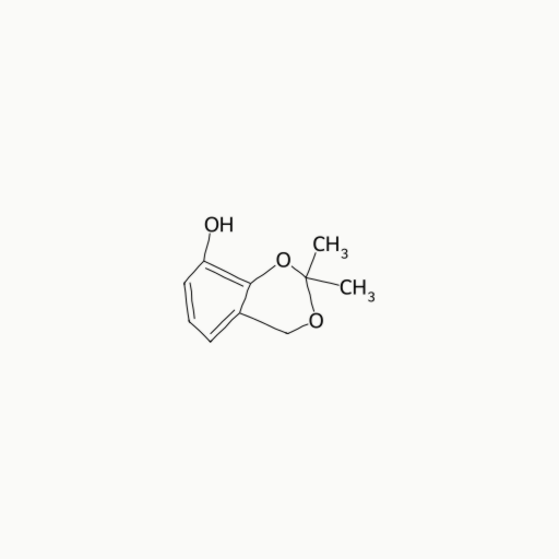 CC1(C)OCc2cccc(O)c2O1